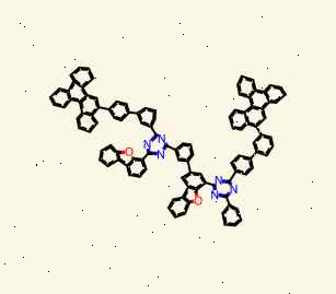 c1ccc(-c2nc(-c3ccc(-c4cccc(-c5cc6c7ccccc7c7ccccc7c6c6ccccc56)c4)cc3)nc(-c3cc(-c4cccc(-c5nc(-c6cccc(-c7ccc(-c8cc9c%10ccccc%10c%10ccccc%10c9c9ccccc89)cc7)c6)nc(-c6cccc7c6oc6ccccc67)n5)c4)cc4c3oc3ccccc34)n2)cc1